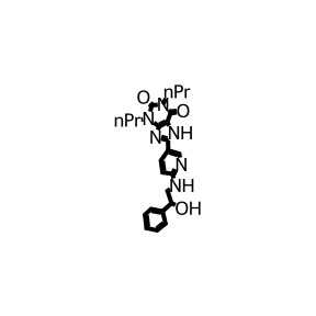 CCCn1c(=O)c2[nH]c(-c3ccc(NCC(O)c4ccccc4)nc3)nc2n(CCC)c1=O